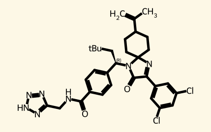 C=C(C)C1CCC2(CC1)N=C(c1cc(Cl)cc(Cl)c1)C(=O)N2[C@H](CC(C)(C)C)c1ccc(C(=O)NCc2nn[nH]n2)cc1